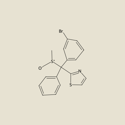 C[S+]([O-])C(c1ccccc1)(c1cccc(Br)c1)c1nccs1